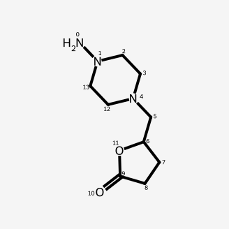 NN1CCN(CC2CCC(=O)O2)CC1